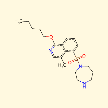 CCCCCOc1ncc(C)c2c(S(=O)(=O)N3CCCNCC3)cccc12